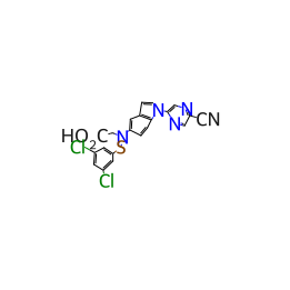 N#Cc1cnc(-n2ccc3cc(N(CC(=O)O)Sc4cc(Cl)cc(Cl)c4)ccc32)cn1